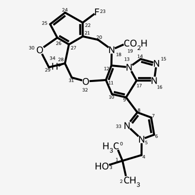 CC(C)(O)Cn1ccc(-c2cc3c(n4cnnc24)N(C(=O)O)Cc2c(F)ccc4c2[C@@H](CO4)CO3)n1